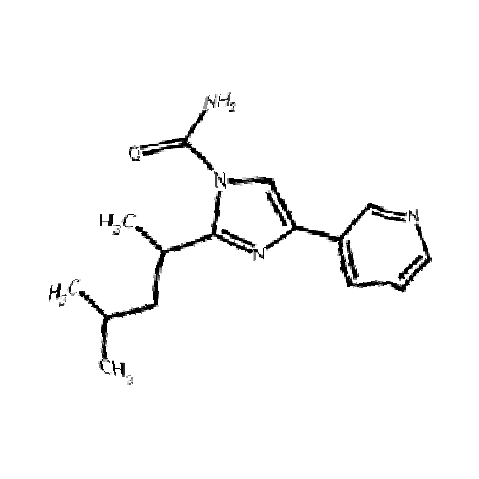 CC(C)CC(C)c1nc(-c2cccnc2)cn1C(N)=O